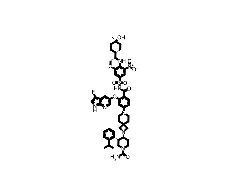 CC(C)c1ccccc1[C@H]1CN(C(N)=O)CC[C@H]1N1CC2(CCN(c3ccc(C(=O)NS(=O)(=O)c4cc5c(c([N+](=O)[O-])c4)N[C@@H]([C@H]4CC[C@](C)(O)CC4)CO5)c(Oc4cnc5[nH]cc(F)c5c4)c3)CC2)C1